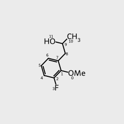 COc1c(F)cccc1CC(C)O